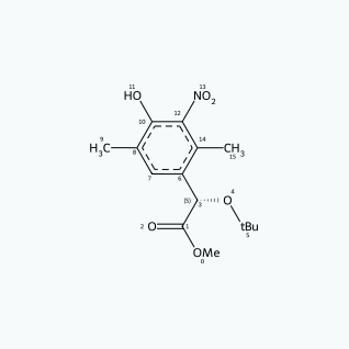 COC(=O)[C@@H](OC(C)(C)C)c1cc(C)c(O)c([N+](=O)[O-])c1C